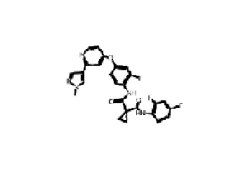 Cn1cc(-c2cc(Oc3ccc(NC(=O)C4(C(=O)Nc5ccc(F)cc5F)CC4)c(F)c3)ccn2)cn1